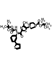 Cc1nc(C(=O)N(NC(=O)OC(C)(C)C)c2cccc(-c3cccs3)c2)sc1N1CCN(C(=O)OC(C)(C)C)CC1